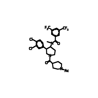 CC(=O)N1CCC(C(=O)N2CCC(N(C)C(=O)c3cc(C(F)(F)F)cc(C(F)(F)F)c3)C(c3ccc(Cl)c(Cl)c3)C2)CC1